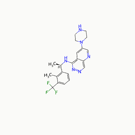 Cc1c([C@@H](C)Nc2nncc3ncc(N4CCNCC4)cc23)cccc1C(F)(F)F